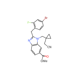 COC(=O)c1ccc2nc(Cc3ccc(Br)cc3F)n(CC3(CC#N)CC3)c2c1